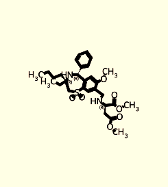 CCCC[C@]1(CC)CS(=O)(=O)c2cc(CN[C@H](CC(=O)OC)C(=O)OC)c(OC)cc2[C@@H](c2ccccc2)N1